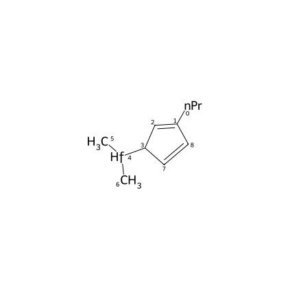 CCCC1=C[CH]([Hf]([CH3])[CH3])C=C1